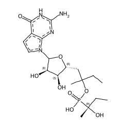 CCC(C)(C[C@H]1OC(n2ccc3c(=O)[nH]c(N)nc32)[C@H](O)[C@@H]1O)OP(=O)(O)[C@@](C)(O)CC